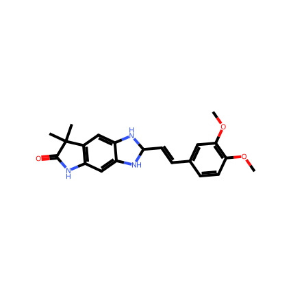 COc1ccc(C=CC2Nc3cc4c(cc3N2)C(C)(C)C(=O)N4)cc1OC